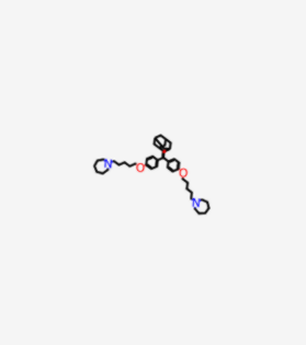 c1cc(C(=C2C3CC4CC(C3)CC2C4)c2ccc(OCCCCCN3CCCCCC3)cc2)ccc1OCCCCCN1CCCCCC1